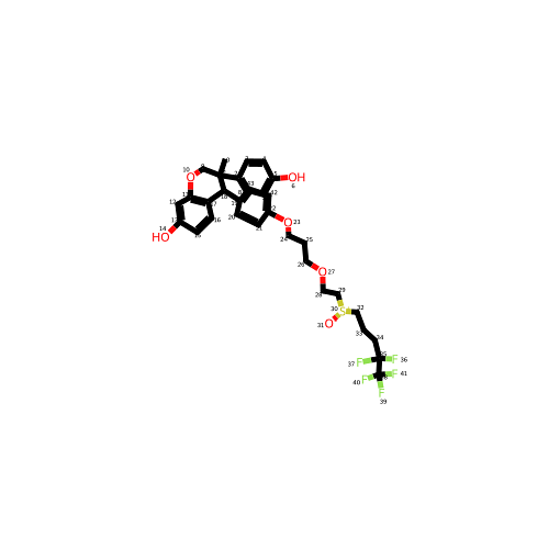 CC1(c2ccc(O)cc2)COc2cc(O)ccc2C1c1ccc(OCCCOCC[S+]([O-])CCCC(F)(F)C(F)(F)F)cc1